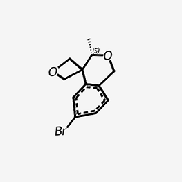 C[C@@H]1OCc2ccc(Br)cc2C12COC2